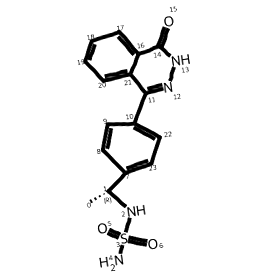 C[C@@H](NS(N)(=O)=O)c1ccc(-c2n[nH]c(=O)c3ccccc23)cc1